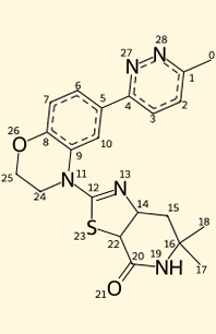 Cc1ccc(-c2ccc3c(c2)N(C2=NC4CC(C)(C)NC(=O)C4S2)CCO3)nn1